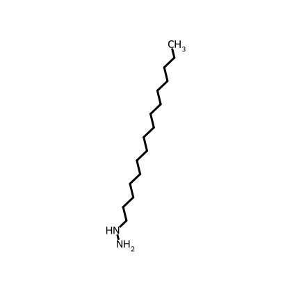 CCCCCCCCCCCCCCCCNN